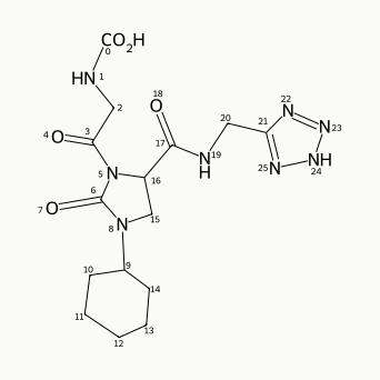 O=C(O)NCC(=O)N1C(=O)N(C2CCCCC2)CC1C(=O)NCc1nn[nH]n1